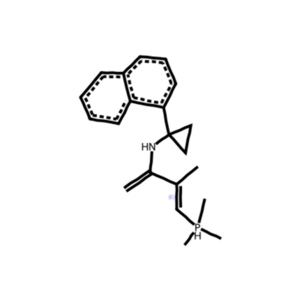 C=C(NC1(c2cccc3ccccc23)CC1)/C(C)=C/[PH](C)(C)C